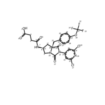 O=C(O)CCC(=O)N[C@@H]1CN2C(=O)N(c3cc(Cl)nc(Cl)c3)C(=O)[C@@]2(Cc2ccc(OC(F)(F)F)cc2)C1